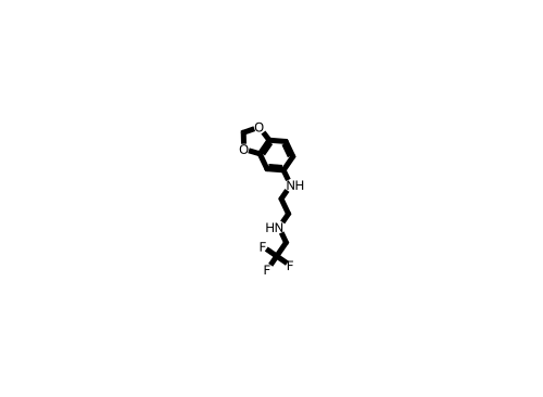 FC(F)(F)CNCCNc1ccc2c(c1)OCO2